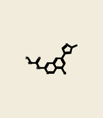 CC(C)NC(=O)Nc1cc2cc(-c3cnn(C)c3)cc(Cl)c2cn1